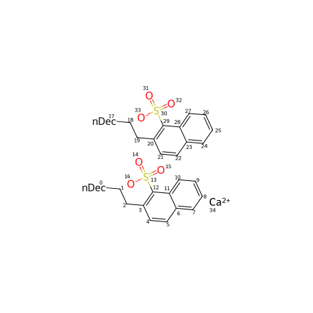 CCCCCCCCCCCCc1ccc2ccccc2c1S(=O)(=O)[O-].CCCCCCCCCCCCc1ccc2ccccc2c1S(=O)(=O)[O-].[Ca+2]